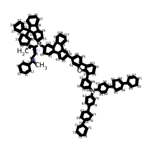 C=C/C(=C\C=C(/C)c1ccccc1)N(c1ccc2c(c1)C(c1ccccc1)(c1ccccc1)c1ccccc1-2)c1ccc2c3ccc(-c4ccc5c(c4)oc4c(-c6cccc(N(c7ccc(-c8ccc(-c9ccccc9)cc8)cc7)c7ccc(-c8ccc(-c9ccccc9)cc8)cc7)c6)cccc45)cc3c3ccccc3c2c1